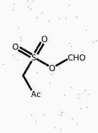 CC(=O)CS(=O)(=O)OC=O